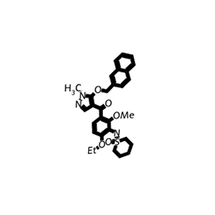 CCOc1ccc(C(=O)c2cnn(C)c2OCc2ccc3ccccc3c2)c(OC)c1N=S1(=O)CCCCC1